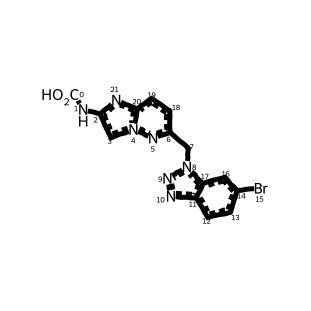 O=C(O)Nc1cn2nc(Cn3nnc4ccc(Br)cc43)ccc2n1